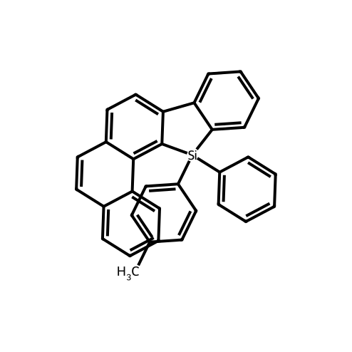 Cc1ccc([Si]2(c3ccccc3)c3ccccc3-c3ccc4ccc5ccccc5c4c32)cc1